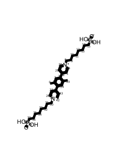 Cc1cc(-c2cc[n+](CCCCCCCCP(=O)(O)O)cc2)c(C)cc1-c1cc[n+](CCCCCCCCP(=O)(O)O)cc1